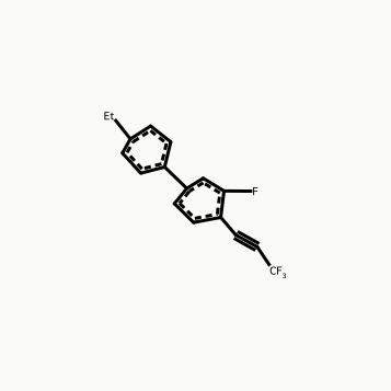 CCc1ccc(-c2ccc(C#CC(F)(F)F)c(F)c2)cc1